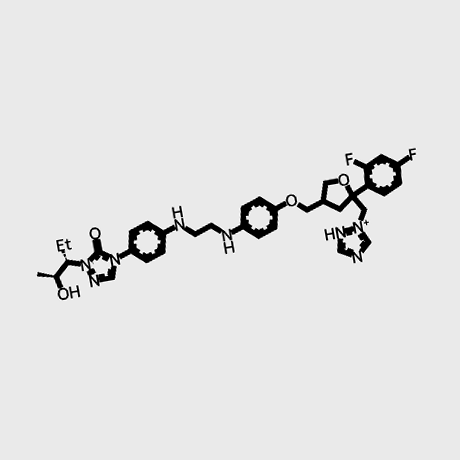 CC[C@@H]([C@H](C)O)n1ncn(-c2ccc(NCCNc3ccc(OCC4COC(C[n+]5cnc[nH]5)(c5ccc(F)cc5F)C4)cc3)cc2)c1=O